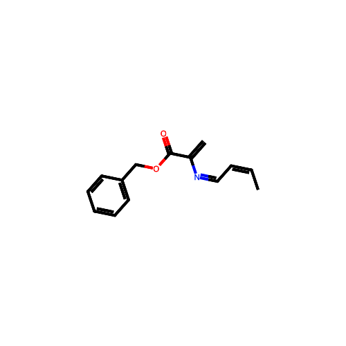 C=C(/N=C\C=C/C)C(=O)OCc1ccccc1